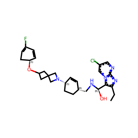 CCc1nc2ncc(Cl)cn2c1[C@@H](O)NC[C@H]1C=C[C@@H](N2CC3(CC(O[C@@H]4C=CC(F)=CC4)C3)C2)CC1